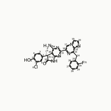 C[C@@]1(c2ccc(O)c(Cl)c2)C(=O)Nc2nc(-c3cn4ccnc4c(Cc4ccccc4F)n3)nc(N)c21